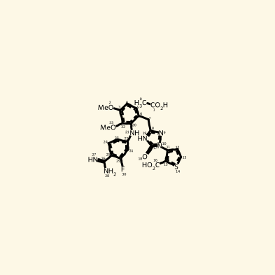 CC(=O)O.COc1ccc(Cc2nn(-c3ccsc3C(=O)O)c(=O)[nH]2)c(Nc2ccc(C(=N)N)c(F)c2)c1OC